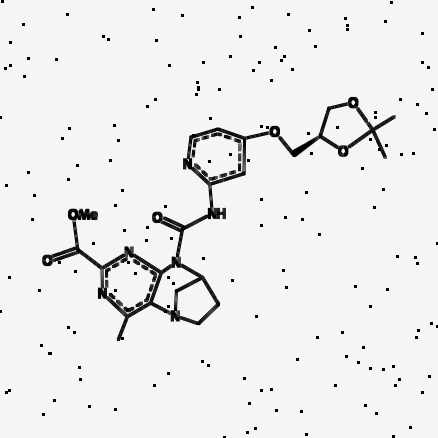 COC(=O)c1nc(C)c2c(n1)N(C(=O)Nc1cc(OC[C@H]3COC(C)(C)O3)ccn1)C1CCN2C1